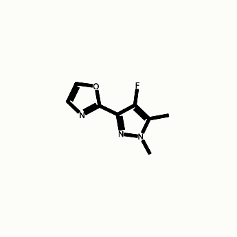 Cc1c(F)c(-c2ncco2)nn1C